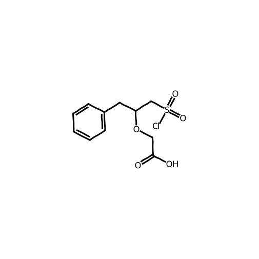 O=C(O)COC(Cc1ccccc1)CS(=O)(=O)Cl